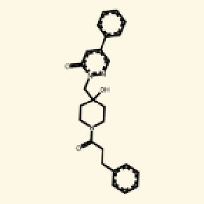 O=C(CCc1ccccc1)N1CCC(O)(Cn2ncc(-c3ccccc3)cc2=O)CC1